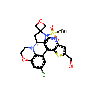 CC(C)(C)S(=O)(=O)N1C[C@@H](N2CCOc3cc(Cl)cc(-c4ccnc5cc(CO)sc45)c32)CC12COC2